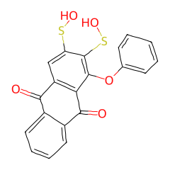 O=C1c2ccccc2C(=O)c2c1cc(SO)c(SO)c2Oc1ccccc1